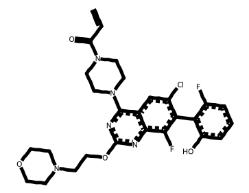 C=CC(=O)N1CCN(c2nc(OCCN3CCOCC3)nc3c(F)c(-c4c(O)cccc4F)c(Cl)cc23)CC1